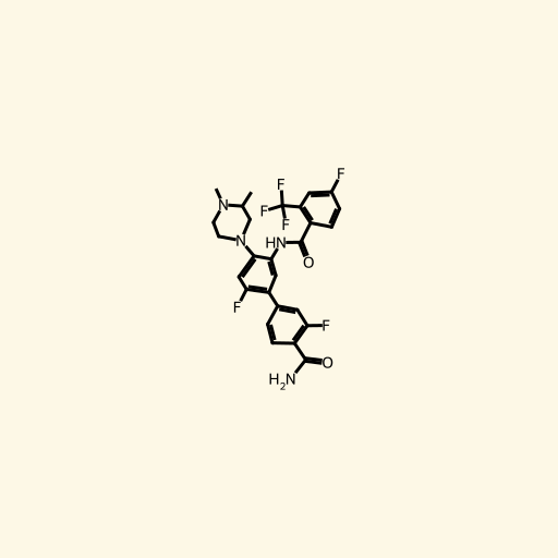 CC1CN(c2cc(F)c(-c3ccc(C(N)=O)c(F)c3)cc2NC(=O)c2ccc(F)cc2C(F)(F)F)CCN1C